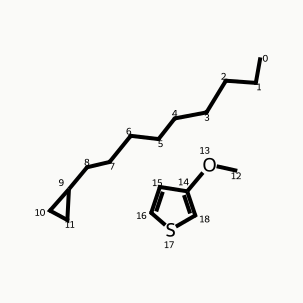 CCCCCCCCCC1CC1.COc1ccsc1